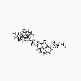 COC(=O)c1ccc(F)c(-c2c(F)cc(OCCO[Si](C)(C)C(C)(C)C)cc2F)n1